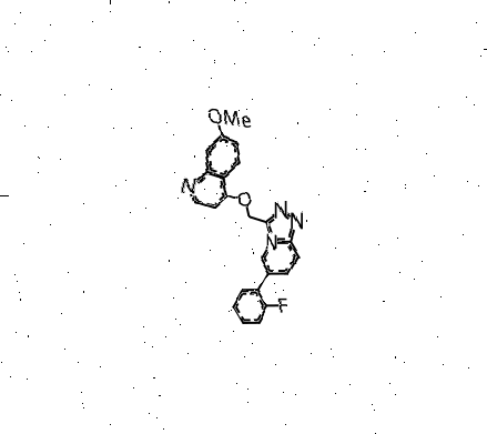 COc1ccc2c(OCc3nnc4ccc(-c5ccccc5F)cn34)ccnc2c1